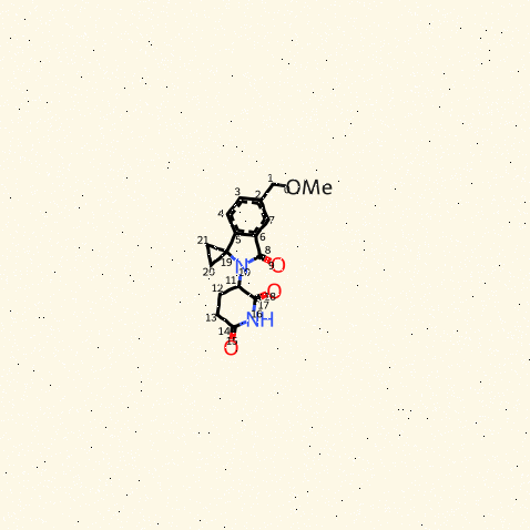 COCc1ccc2c(c1)C(=O)N(C1CCC(=O)NC1=O)C21CC1